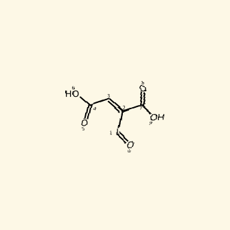 O=IC(=CC(=O)O)C(=O)O